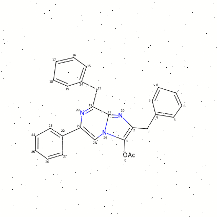 CC(=O)Oc1c(Cc2ccccc2)nc2c(Cc3ccccc3)nc(-c3ccccc3)cn12